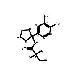 CCC(C)(C)C(=O)OC1(c2ccc(F)c(F)c2)CCCC1